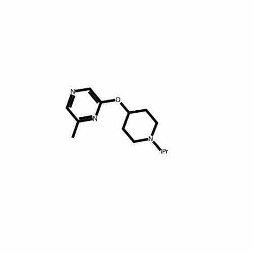 Cc1cncc(OC2CCN(C(C)C)CC2)n1